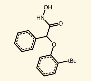 CC(C)(C)c1ccccc1OC(C(=O)NO)c1ccccc1